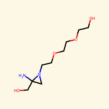 NC1(CO)CN1CCOCCOCCO